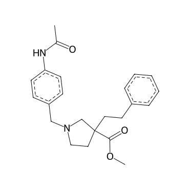 COC(=O)C1(CCc2ccccc2)CCN(Cc2ccc(NC(C)=O)cc2)C1